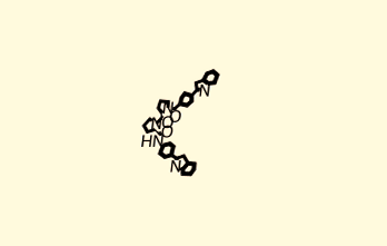 O=C(Nc1ccc(C2=Nc3ccccc3C2)cc1)[C@H]1CCCN1C(=O)[C@H]1CCCN1C(=O)c1ccc(C2=Nc3ccccc3C2)cc1